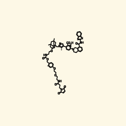 Cc1c(-c2ccc(N3CCc4cccc(C(=O)Nc5nc6ccccc6s5)c4C3)nc2C(=O)O)cnn1CC12CC3(C)CC(C)(C1)CC(OCCNC(=O)OCc1[c]cc(OCCOCCNC(=O)CCN4C(=O)C=CC4=O)cc1)(C3)C2